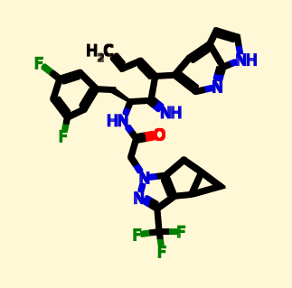 C=C/C=C(\C(=N)[C@H](Cc1cc(F)cc(F)c1)NC(=O)Cn1nc(C(F)(F)F)c2c1CC1CC21)c1cnc2[nH]ccc2c1